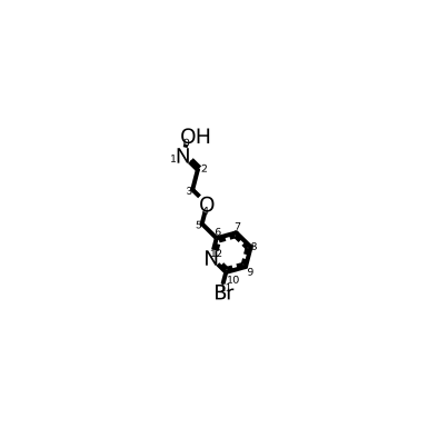 ON=CCOCc1cccc(Br)n1